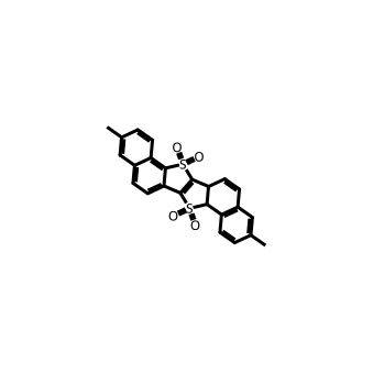 Cc1ccc2c(c1)C=CC1C3=C(c4ccc5cc(C)ccc5c4S3(=O)=O)S(=O)(=O)C21